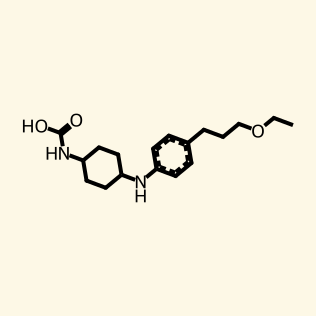 CCOCCCc1ccc(NC2CCC(NC(=O)O)CC2)cc1